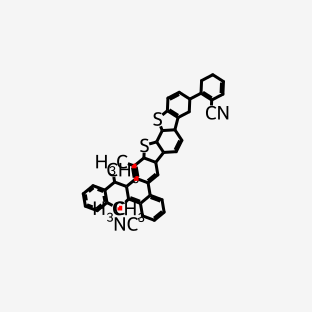 C/C=C\C(/C(C)=C1\C(C2=CC3C(C=C2)SC2C3C=CC3C4=C(C=CC(C5=C(C#N)C=CCC5)C4)SC32)=CC=C[C@@H]1C#N)C(C)c1ccccc1C